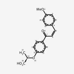 COc1ccc(/C=C\C(=O)c2ccc(O[C@H](C)C(=O)O)cc2)cc1